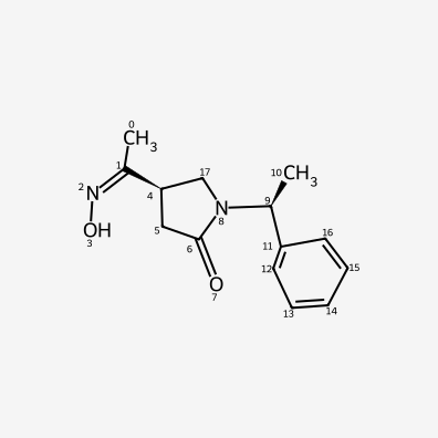 C/C(=N/O)[C@@H]1CC(=O)N([C@@H](C)c2ccccc2)C1